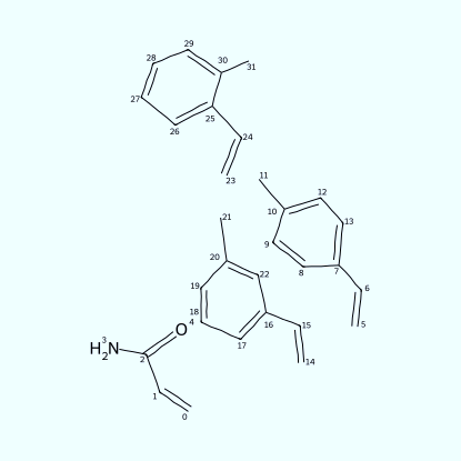 C=CC(N)=O.C=Cc1ccc(C)cc1.C=Cc1cccc(C)c1.C=Cc1ccccc1C